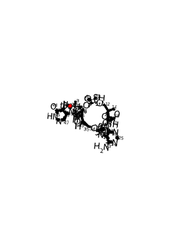 CC(C)(C)[Si](C)(C)O[C@H]1[C@H]2OP(=O)(S)OCC34CO[C@@H]([C@H](n5cnc6c(N)ncnc65)O3)[C@@H]4OP(=O)(S)OC[C@H]1O[C@H]2n1cnc2c(=O)[nH]ncc21